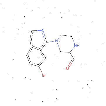 O=CC1CN(c2nccc3ccc(Br)cc23)CCN1